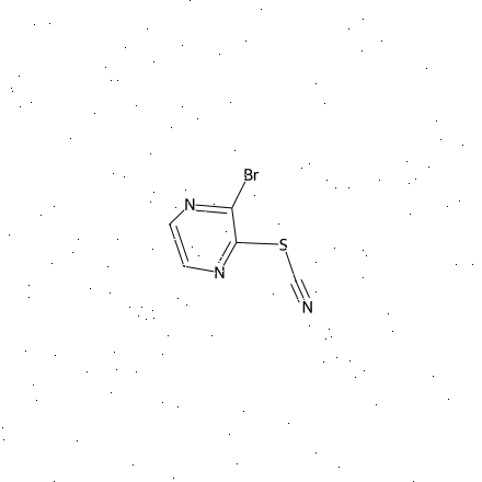 N#CSc1nccnc1Br